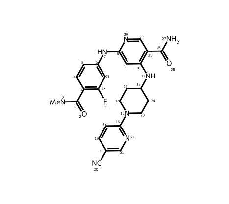 CNC(=O)c1ccc(Nc2cc(NC3CCN(c4ccc(C#N)cn4)CC3)c(C(N)=O)cn2)cc1F